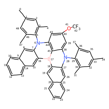 Cc1cc(C)c(N2c3cc4ccccc4cc3B3c4cc5ccccc5cc4N(c4c(C)cc(C)cc4C)c4cc(OC(F)(F)F)cc2c43)c(C)c1